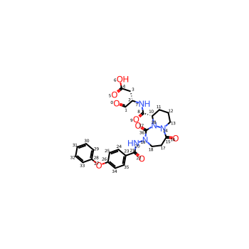 O=C[C@H](CC(=O)O)NC(=O)[C@@H]1CCCN2C(=O)CCN(NC(=O)c3ccc(Oc4ccccc4)cc3)C(=O)N12